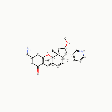 CO[C@@H]1C[C@H]2[C@@H]3OC4=C(C=C3C=C[C@]2(C)[C@H]1c1cccnc1)C(=O)CC(CN)C4